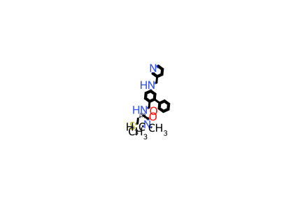 CSCC[C@H](NC(=O)c1ccc(NCc2cccnc2)cc1-c1ccccc1)C(=O)N(C)C